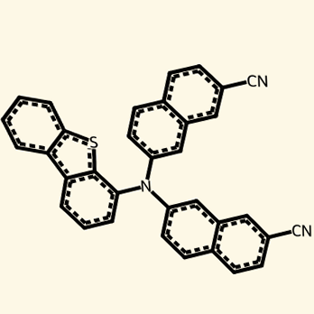 N#Cc1ccc2ccc(N(c3ccc4ccc(C#N)cc4c3)c3cccc4c3sc3ccccc34)cc2c1